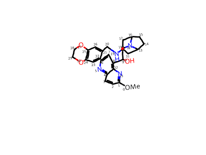 COc1ccc2nccc(C(O)CN3C4CCC3CC(NCc3ccc5c(c3)OCCO5)C4)c2n1